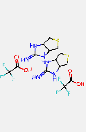 N=C1NC2CSCC2N1.N=C1NC2CSCC2N1.O=C(O)C(F)(F)F.O=C(O)C(F)(F)F